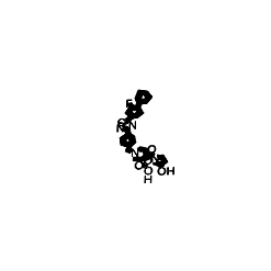 O=C(O)OC1(C(=O)N2CCC(O)C2)CCN(Cc2ccc(-c3noc(-c4ccc(-c5ccccc5)c(F)c4)n3)cc2)CC1